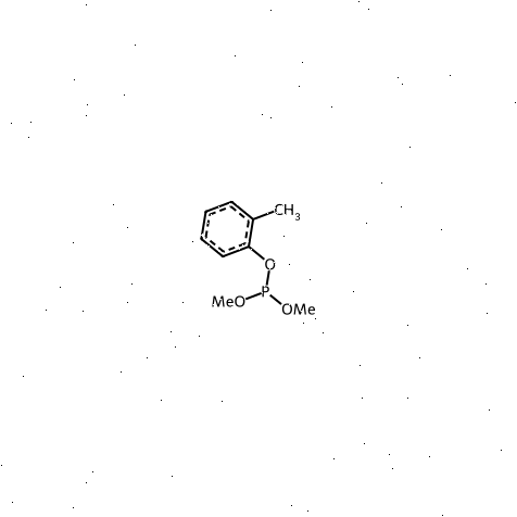 COP(OC)Oc1ccccc1C